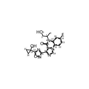 CC(CO)n1c(=O)c2c(-c3noc(C4(O)CC4)n3)ncn2c2ccc(F)cc21